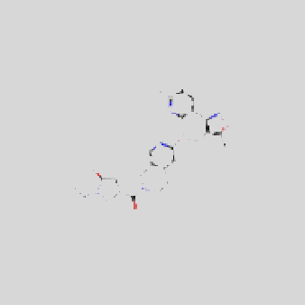 CCN1CC(C(=O)N2CCc3cc(OCc4c(-c5ccc(C)nc5)noc4C)ncc3C2)CC1=O